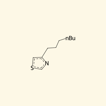 CCCCCCCc1cscn1